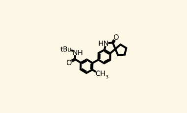 Cc1ccc(C(=O)NC(C)(C)C)cc1-c1ccc2c(c1)NC(=O)C21CCCC1